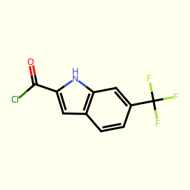 O=C(Cl)c1cc2ccc(C(F)(F)F)cc2[nH]1